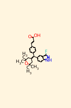 CC1(C)CC(=C(c2ccc(C=CC(=O)O)cc2)c2ccc3[nH]nc(F)c3c2)CC(C)(C)O1